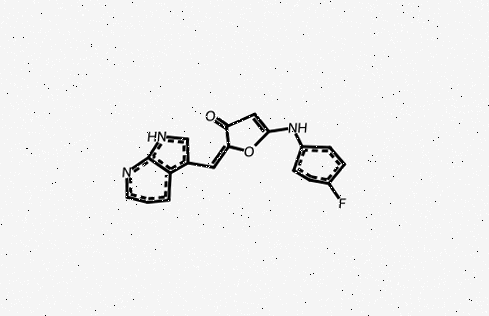 O=C1C=C(Nc2ccc(F)cc2)O/C1=C/c1c[nH]c2ncccc12